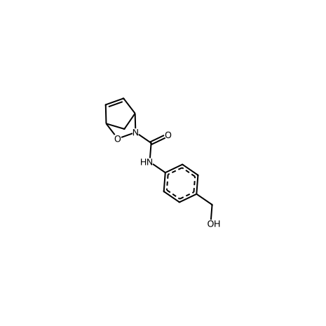 O=C(Nc1ccc(CO)cc1)N1OC2C=CC1C2